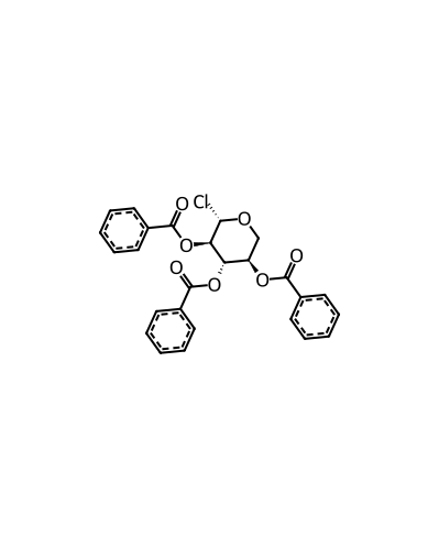 O=C(O[C@@H]1[C@@H](OC(=O)c2ccccc2)[C@H](OC(=O)c2ccccc2)CO[C@H]1Cl)c1ccccc1